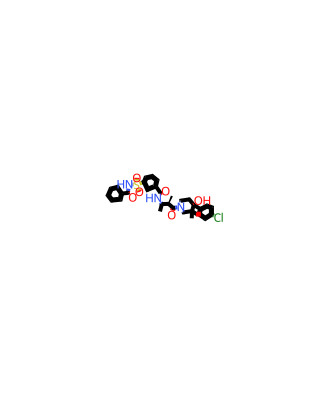 CC(NC(=O)c1cccc(S(=O)(=O)NC(=O)c2ccccc2)c1)[C@@H](C)C(=O)N1CC[C@](O)(c2ccc(Cl)cc2)C(C)(C)C1